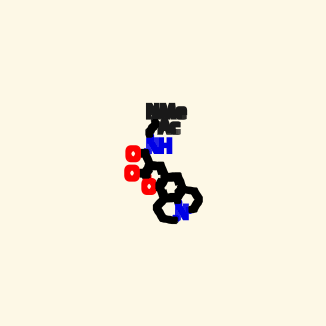 CNC(CNC(=O)c1cc2cc3c4c(c2oc1=O)CCCN4CCC3)C(C)=O